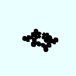 CC1(C)c2ccccc2-c2ccc(N(c3ccc4c(c3)C3(c5ccccc5-4)c4ccccc4C(C)(C)c4ccccc43)c3ccc4c(c3)c3ccccc3n4-c3ccc(-c4ccc5c(c4)c4ccccc4n5-c4cccc(N(c5ccc6c(c5)oc5ccccc56)c5cccc6c5-c5ccccc5C65c6ccccc6C(C)(C)c6ccccc65)c4)cc3)cc21